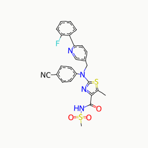 Cc1sc(N(Cc2ccc(-c3ccccc3F)nc2)c2ccc(C#N)cc2)nc1C(=O)NS(C)(=O)=O